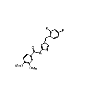 COc1ccc(C(=O)Nc2cn(Cc3ccc(F)cc3F)cn2)cc1OC